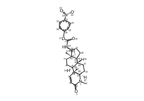 CN1C(=O)C=C[C@]2(C)[C@H]3CC[C@]4(C)[C@@H](NC(=O)Oc5ccc([N+](=O)[O-])cc5)CC[C@H]4[C@@H]3CC[C@@H]12